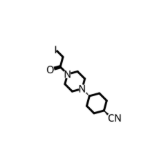 N#C[C@H]1CC[C@H](N2CCN(C(=O)CI)CC2)CC1